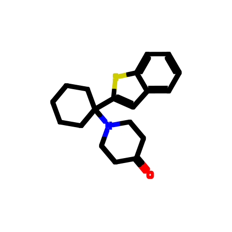 O=C1CCN(C2(c3cc4ccccc4s3)CCCCC2)CC1